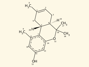 CC1=CC[C@@H]2[C@@H](C1)c1c(C)cc(O)cc1OC2(C)C